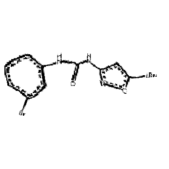 CC(C)(C)c1cc(NC(=O)Nc2cccc(Br)c2)no1